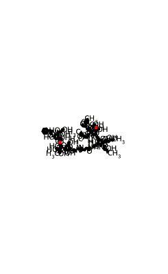 CCC(=O)O[C@H](CC)CC(=O)N[C@H]1C(OC(=O)C[C@@H](CC)OC(=O)CC)[C@H](OP(=O)(O)O)C(CO)O[C@H]1OCC1O[C@H](OCCNC(=O)CCc2cn(CCO[C@@H]3OC(CO)[C@@H](O[C@H](OC(CO)[C@@H](C)O)[C@@H](O)CO[C@]4(C(=O)O)C[C@@H](O)[C@@H](NC(=O)Cc5ccccc5)C([C@H](O)[C@H](O)CO)O4)C(O)[C@@H]3O)nn2)C(NC(=O)C[C@H](O)CC)C(OC(=O)C[C@H](O)CC)[C@@H]1O